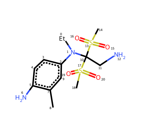 CCN(c1ccc(N)c(C)c1)C(CN)(S(C)(=O)=O)S(C)(=O)=O